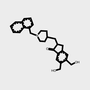 O=C1c2cc(CO)c(CO)cc2CC1CC1CCN(Cc2cccc3ccccc23)CC1